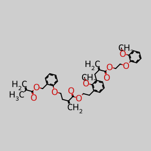 C=C(C)C(=O)OCc1ccccc1OCCC(=C)C(=O)OCCc1cccc(CC(=C)C(=O)OCCOc2ccccc2OC)c1OC